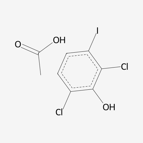 CC(=O)O.Oc1c(Cl)ccc(I)c1Cl